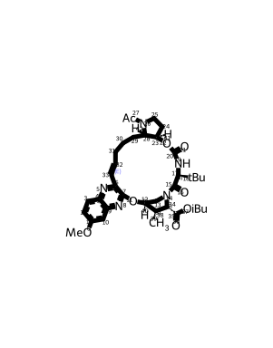 COc1ccc2nc3c(nc2c1)O[C@H]1CN(C(=O)[C@H](C(C)(C)C)NC(=O)O[C@@H]2CCN(C(C)=O)[C@H]2CCC/C=C/3)[C@H](C(=O)OCC(C)C)[C@@H]1C